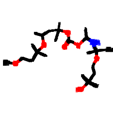 CCC(C)C(C)(NC(C)OC(=O)OC(C)(C)CC(C)OC(C)(C)CCOC(C)C)OCCC(C)(C)O